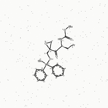 CC(C)C[C@H](NC(=O)OC(C)(C)C)C(=O)[C@@]1(CO[Si](c2ccccc2)(c2ccccc2)C(C)(C)C)CO1